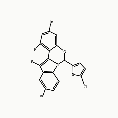 Fc1cc(Br)cc2c1-c1c(F)c3cc(Br)ccc3n1C(c1ccc(Cl)s1)O2